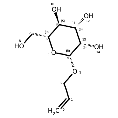 C=CCO[C@@H]1O[C@H](CO)[C@@H](O)[C@H](O)[C@@H]1O